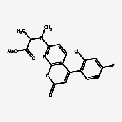 COC(=O)[C@H](C)N(C)c1ccc2c(-c3ccc(F)cc3Cl)cc(=O)oc2n1